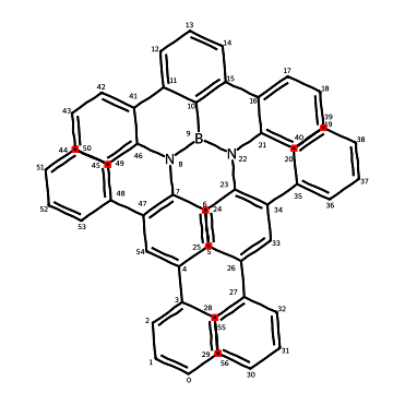 c1ccc(-c2ccc(N3B4c5c(cccc5-c5ccccc5N4c4ccc(-c5ccccc5)cc4-c4ccccc4)-c4ccccc43)c(-c3ccccc3)c2)cc1